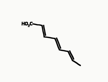 CC=CC=CC=CC(=O)O